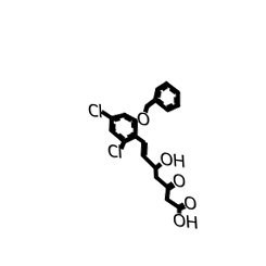 O=C(O)CC(=O)CC(O)C=Cc1c(Cl)cc(Cl)cc1OCc1ccccc1